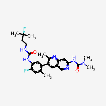 Cc1cc(F)c(NC(=O)NCCC(C)(C)F)cc1-c1cc2cnc(NC(=O)N(C)C)cc2nc1C